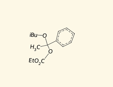 CCOC(=O)OC(C)(OC(C)CC)c1ccccc1